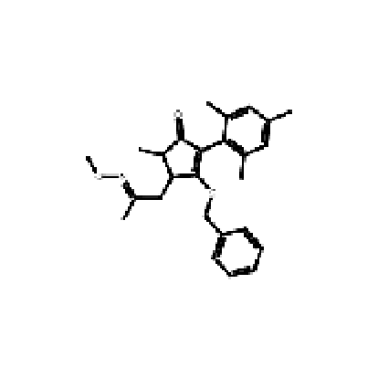 CON=C(C)CC1C(OCc2ccccc2)=C(c2c(C)cc(C)cc2C)C(=O)C1C